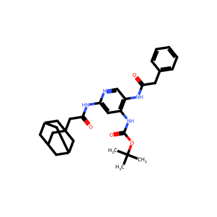 CC(C)(C)OC(=O)Nc1cc(NC(=O)CC23CC4CC(CC(C4)C2)C3)ncc1NC(=O)Cc1ccccc1